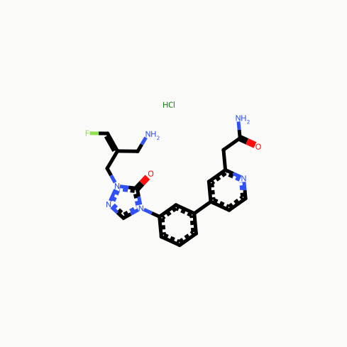 Cl.NC/C(=C/F)Cn1ncn(-c2cccc(-c3ccnc(CC(N)=O)c3)c2)c1=O